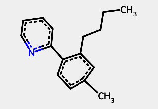 CCCCc1cc(C)ccc1-c1ccccn1